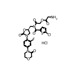 Cl.NCC(=O)OCC(=O)N(C[C@H]1CN(c2ccc(N3CCOCC3=O)cc2F)C(=O)O1)C(=O)c1ccc(Cl)s1